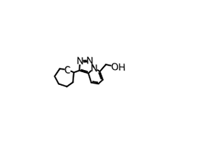 OCc1cccc2c(C3CCCCCC3)nnn12